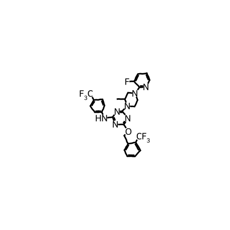 CC1CN(c2ncccc2F)CCN1c1nc(Nc2ccc(C(F)(F)F)cc2)nc(OCc2ccccc2C(F)(F)F)n1